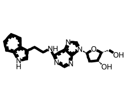 OC[C@H]1O[C@@H](n2cnc3c(NCCc4c[nH]c5ccccc45)ncnc32)C[C@H]1O